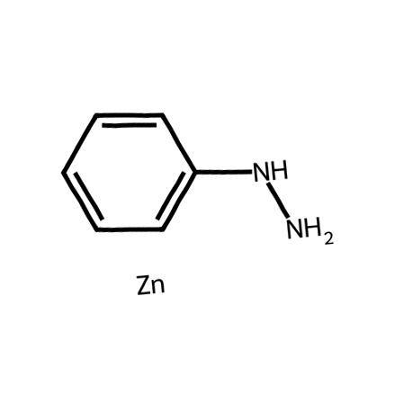 NNc1ccccc1.[Zn]